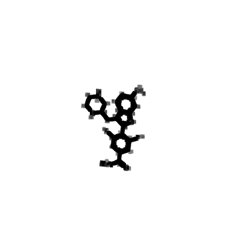 CNC(=O)c1cc(F)c(-c2oc3cc(C)ccc3c2CC2CNCCO2)c(F)c1